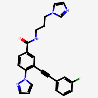 O=C(NCCCn1ccnc1)c1ccc(-n2cccn2)c(C#Cc2cccc(F)c2)c1